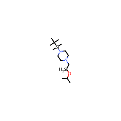 CC(C)O[SiH2]CN1CCN([Si](C)(C)C(C)(C)C)CC1